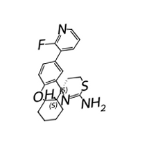 NC1=N[C@]2(CCS1)c1cc(-c3cccnc3F)ccc1OC1CCCC[C@H]12